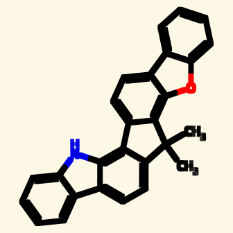 CC1(C)c2ccc3c([nH]c4ccccc43)c2-c2ccc3c(oc4ccccc43)c21